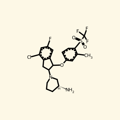 Cc1cc(OC2c3cc(F)cc(Cl)c3CC2N2CCC[C@@H](N)C2)ccc1S(=O)(=O)C(F)(F)F